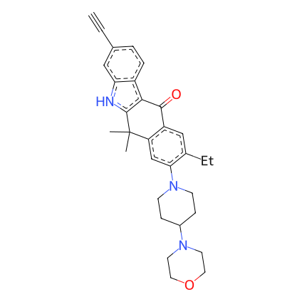 C#Cc1ccc2c3c([nH]c2c1)C(C)(C)c1cc(N2CCC(N4CCOCC4)CC2)c(CC)cc1C3=O